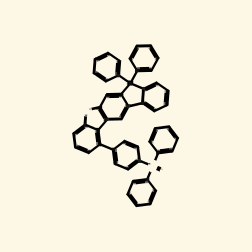 O=P(c1ccccc1)(c1ccccc1)c1ccc(-c2cccc3oc4cc5c(cc4c23)-c2ccccc2C5(c2ccccc2)c2ccccc2)cc1